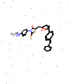 CCNc1ccc(N2C(=O)/C(=C/c3ccc(-c4ccc(Cc5ccccc5)cc4)o3)SC2=S)cc1